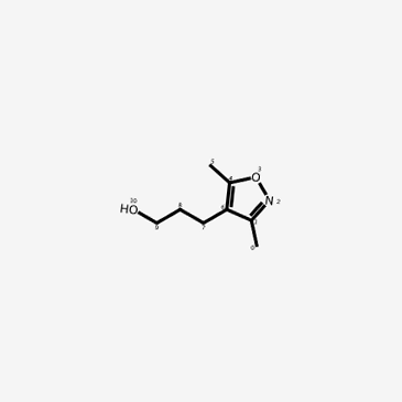 Cc1noc(C)c1CCCO